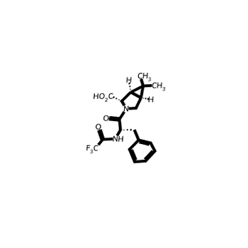 CC1(C)[C@@H]2[C@@H](C(=O)O)N(C(=O)[C@H](Cc3ccccc3)NC(=O)C(F)(F)F)C[C@@H]21